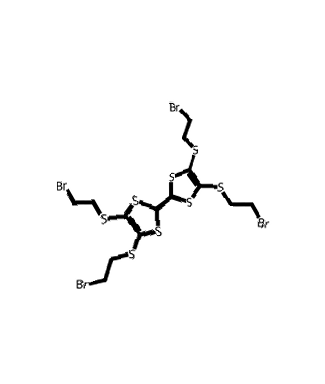 BrCCSC1=C(SCCBr)SC(C2SC(SCCBr)=C(SCCBr)S2)S1